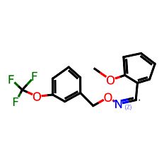 COc1ccccc1/[C]=N\OCc1cccc(OC(F)(F)F)c1